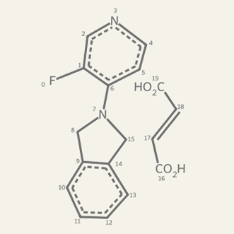 Fc1cnccc1N1Cc2ccccc2C1.O=C(O)C=CC(=O)O